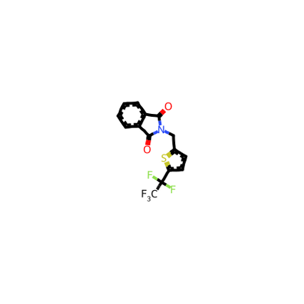 O=C1c2ccccc2C(=O)N1Cc1ccc(C(F)(F)C(F)(F)F)s1